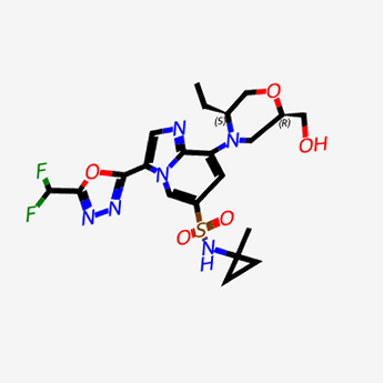 CC[C@H]1CO[C@@H](CO)CN1c1cc(S(=O)(=O)NC2(C)CC2)cn2c(-c3nnc(C(F)F)o3)cnc12